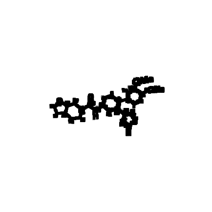 COc1ccc(-c2ccc(NC(=O)N3CCC4CCOC4C3)cc2-c2nn[nH]n2)cc1OC